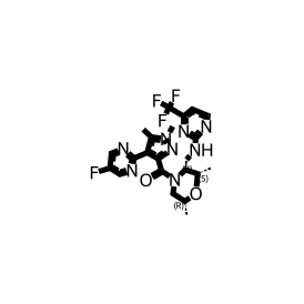 Cc1c(-c2ncc(F)cn2)c(C(=O)N2C[C@@H](C)O[C@@H](C)[C@H]2CNc2nccc(C(F)(F)F)n2)nn1C